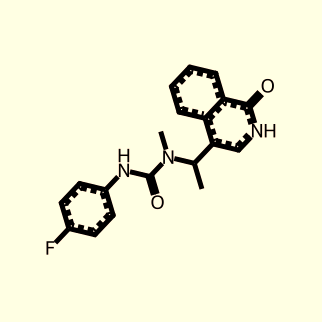 CC(c1c[nH]c(=O)c2ccccc12)N(C)C(=O)Nc1ccc(F)cc1